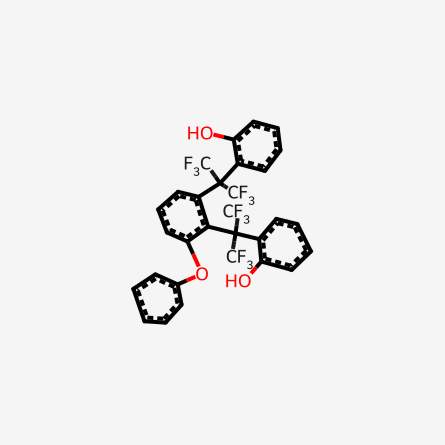 Oc1ccccc1C(c1cccc(Oc2ccccc2)c1C(c1ccccc1O)(C(F)(F)F)C(F)(F)F)(C(F)(F)F)C(F)(F)F